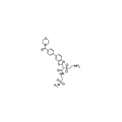 NCCS(=O)(=O)C(C(=O)NCCS(N)(=O)=O)c1nc2ccc(-c3ccc(C(=O)N4CCOCC4)cc3)cc2s1